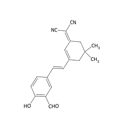 CC1(C)CC(C=Cc2ccc(O)c(C=O)c2)=CC(=C(C#N)C#N)C1